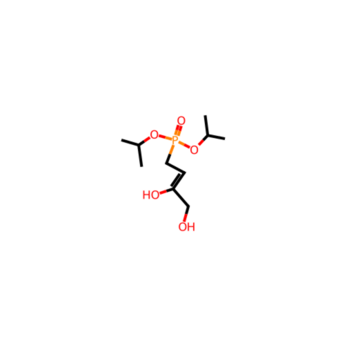 CC(C)OP(=O)(CC=C(O)CO)OC(C)C